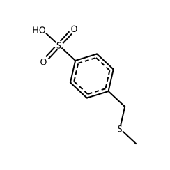 CSCc1ccc(S(=O)(=O)O)cc1